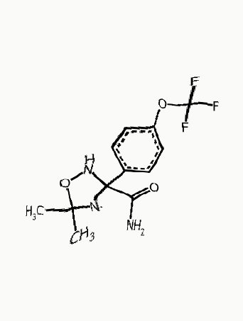 CC1(C)[N]C(C(N)=O)(c2ccc(OC(F)(F)F)cc2)NO1